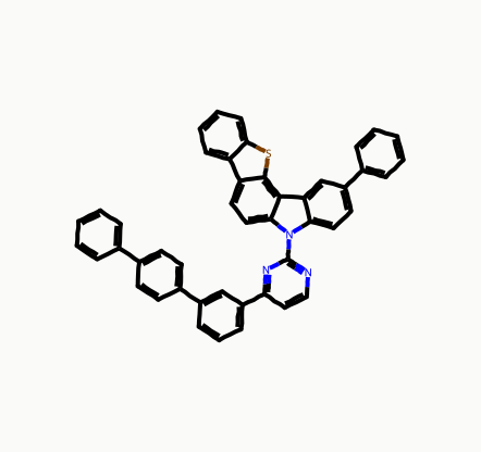 c1ccc(-c2ccc(-c3cccc(-c4ccnc(-n5c6ccc(-c7ccccc7)cc6c6c7sc8ccccc8c7ccc65)n4)c3)cc2)cc1